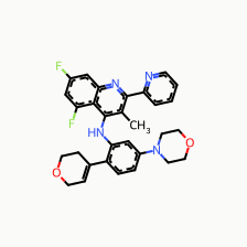 Cc1c(-c2ccccn2)nc2cc(F)cc(F)c2c1Nc1cc(N2CCOCC2)ccc1C1=CCOCC1